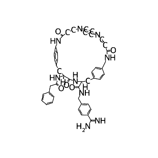 N=C(N)c1ccc(CNC(=O)[C@@H]2Cc3ccc(cc3)NC(=O)CCN3CCN(CCC(=O)Nc4ccc(cc4)C[C@@H](NC(=O)Cc4ccccc4)C(=O)N2)CC3)cc1